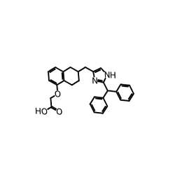 O=C(O)COc1cccc2c1CCC(Cc1c[nH]c(C(c3ccccc3)c3ccccc3)n1)C2